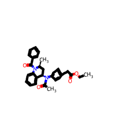 CCOC(=O)Cc1ccc(N(C(C)=O)[C@@H]2C[C@H](C)N(C(=O)c3ccccc3)c3ccccc32)cc1